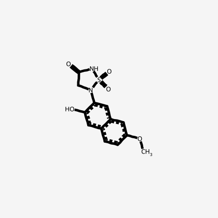 COc1ccc2cc(O)c(N3CC(=O)NS3(=O)=O)cc2c1